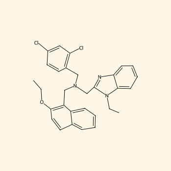 CCOc1ccc2ccccc2c1CN(Cc1ccc(Cl)cc1Cl)Cc1nc2ccccc2n1CC